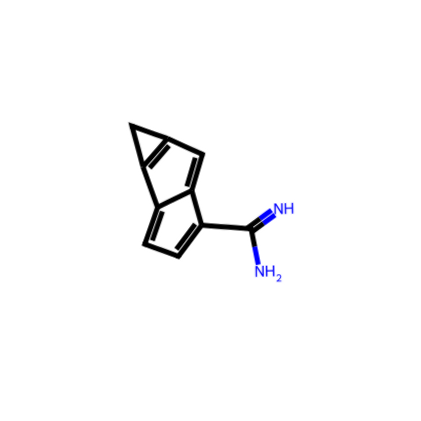 N=C(N)C1=CC=C2C1=CC1=C2C1